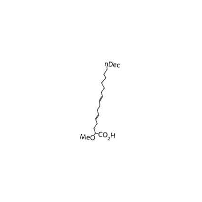 CCCCCCCCCCCCCCCCC=CCCC=CCCC(OC)C(=O)O